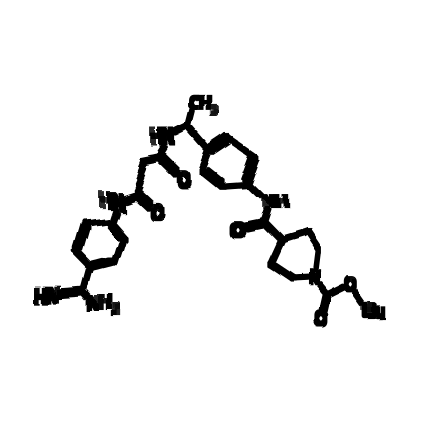 CC(NC(=O)CC(=O)Nc1ccc(C(=N)N)cc1)c1ccc(NC(=O)C2CCN(C(=O)OC(C)(C)C)CC2)cc1